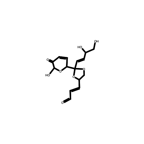 O=CC=CC1COC(C=CC(O)CO)(C2C=CC(=O)C(O)O2)O1